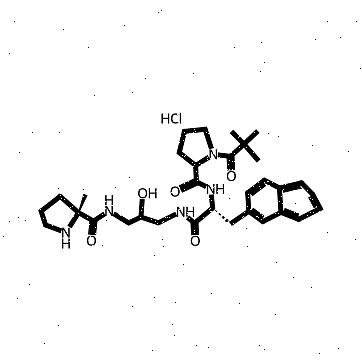 CC(C)(C)C(=O)N1CCCC1C(=O)N[C@H](Cc1ccc2ccccc2c1)C(=O)NCC(O)CNC(=O)[C@@]1(C)CCCN1.Cl